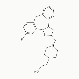 OCCC1CCN(CC2CC3c4ccccc4Cc4ccc(F)cc4C3O2)CC1